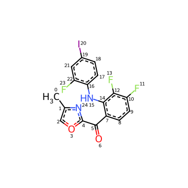 Cc1coc(C(=O)c2ccc(F)c(F)c2Nc2ccc(I)cc2F)n1